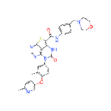 Cc1ccc(Oc2ccc(N3C(=O)Nc4c(C(=O)Nc5ccc(CN6CCOCC6)cc5)sc5ncnc3c45)cc2C)cn1